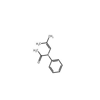 CC(=O)N(C=C(C)C)c1ccccc1